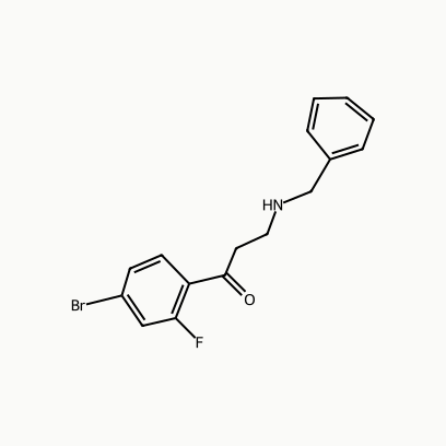 O=C(CCNCc1ccccc1)c1ccc(Br)cc1F